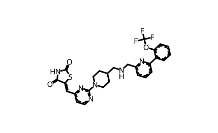 O=C1NC(=O)C(=Cc2ccnc(N3CCC(CNCc4cccc(-c5ccccc5OC(F)(F)F)n4)CC3)n2)S1